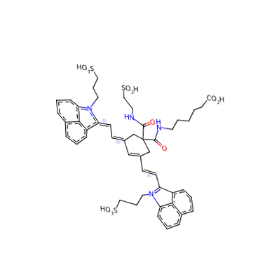 O=C(O)CCCCCNC(=O)C1(C(=O)NCCS(=O)(=O)O)CC(/C=C/C2=[N+](CCCS(=O)(=O)O)c3cccc4cccc2c34)=CC(=C/C=c2\c3cccc4cccc(c43)n2CCCS(=O)(=O)O)/C1